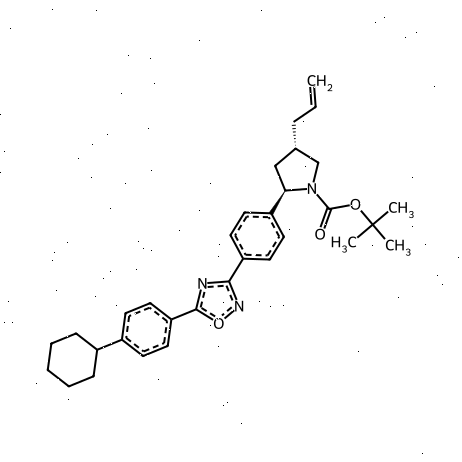 C=CC[C@H]1C[C@H](c2ccc(-c3noc(-c4ccc(C5CCCCC5)cc4)n3)cc2)N(C(=O)OC(C)(C)C)C1